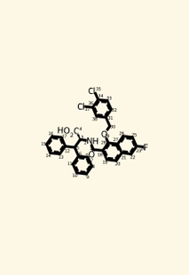 O=C(N[C@H](C(=O)O)C(c1ccccc1)c1ccccc1)c1ccc2cc(F)ccc2c1OCc1ccc(Cl)c(Cl)c1